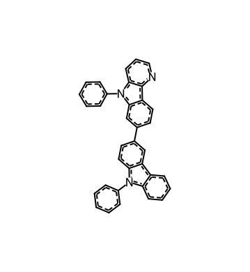 c1ccc(-n2c3ccccc3c3cc(-c4ccc5c6ncccc6n(-c6ccccc6)c5c4)ccc32)cc1